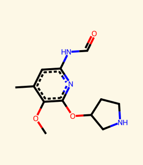 COc1c(C)cc(NC=O)nc1OC1CCNC1